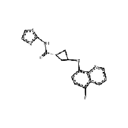 O=C(Nc1nccs1)[C@H]1C[C@H](Oc2ccc(F)c3cccnc23)C1